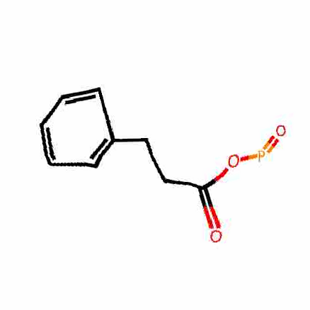 O=POC(=O)CCc1ccccc1